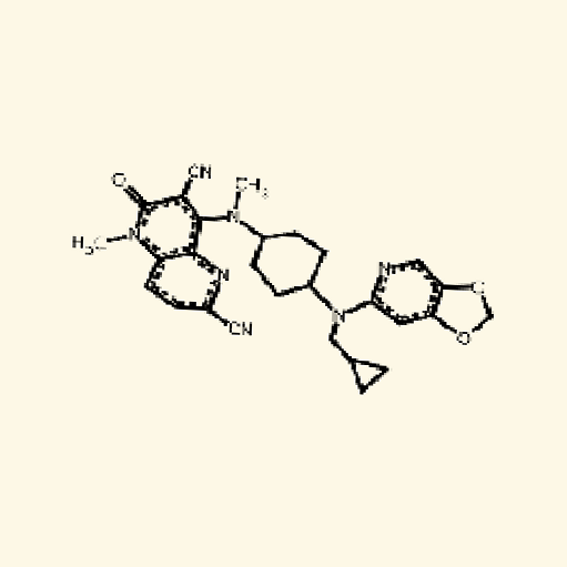 CN(c1c(C#N)c(=O)n(C)c2ccc(C#N)nc12)C1CCC(N(CC2CC2)c2cc3c(cn2)OCO3)CC1